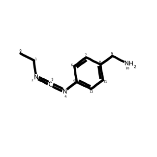 CCN=C=Nc1ccc(CN)cc1